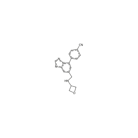 N#Cc1ccc(-c2cc(CNC3COC3)cc3ncnn23)cc1